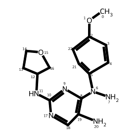 COc1ccc(N(N)c2nc(NC3CCOC3)ncc2N)cc1